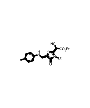 CCOC(=O)C(C#N)=c1sc(=CNc2ccc(C)cc2)c(=O)n1CC